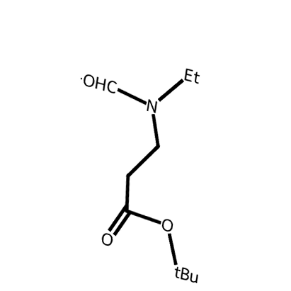 CCN([C]=O)CCC(=O)OC(C)(C)C